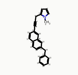 Cn1cccc1CC#Cc1ccc2ccc(Cc3ccccc3)cc2c1